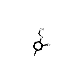 CC(C)c1cc(I)ccc1OCC#N